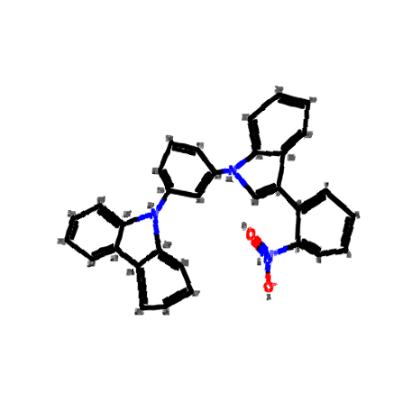 O=[N+]([O-])c1ccccc1-c1cn(-c2cccc(-n3c4ccccc4c4ccccc43)c2)c2ccccc12